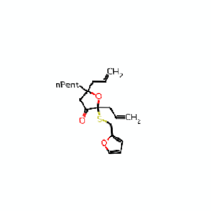 C=CCC1(CCCCC)CC(=O)C(CC=C)(SCc2ccco2)O1